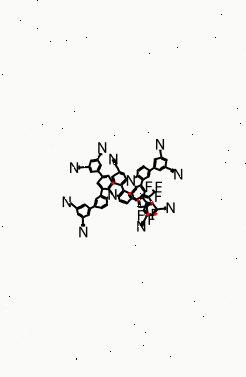 N#Cc1cc(C#N)cc(-c2ccc3c(c2)c2cc(-c4cc(C#N)cc(C#N)c4)ccc2n3-c2ccc(-c3cc(C(F)(F)F)cc(C(F)(F)F)c3)cc2-c2ccc(C#N)cc2-n2c3ccc(-c4cc(C#N)cc(C#N)c4)cc3c3cc(-c4cc(C#N)cc(C#N)c4)ccc32)c1